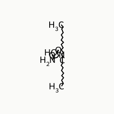 CCCCCCCCCCCCN(CCCCCCCCCCCC)C(CC(N)=O)C(=O)O